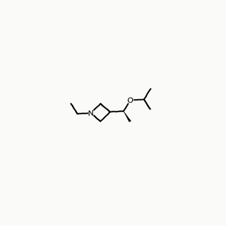 CCN1CC([C@H](C)OC(C)C)C1